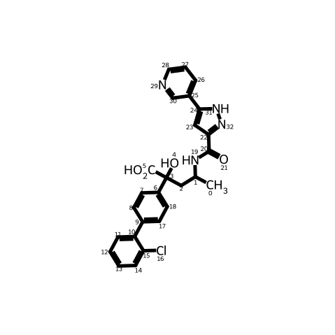 CC(CC(O)(C(=O)O)c1ccc(-c2ccccc2Cl)cc1)NC(=O)c1cc(-c2cccnc2)[nH]n1